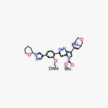 COCOc1cc(-c2cnn(C3CCCCO3)c2)ccc1-c1cc2c(nn1)c(C1=CC3COCC(C1)N3)cn2C(=O)OC(C)(C)C